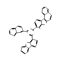 Clc1c(-c2nc(-c3ccc4ccccc4c3)nc(-c3cccc4c3sc3ccccc34)n2)ccc2c1sc1ccc3ccccc3c12